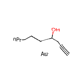 C#CC(O)CCCCC.[Au]